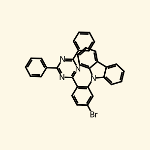 Brc1ccc(-c2nc(-c3ccccc3)nc(-c3ccccc3)n2)c(-n2c3ccccc3c3ccccc32)c1